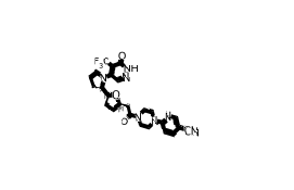 N#Cc1ccc(N2CCN(C(=O)C[C@H]3CC[C@@H]([C@@H]4CCCN4c4cn[nH]c(=O)c4C(F)(F)F)O3)CC2)nc1